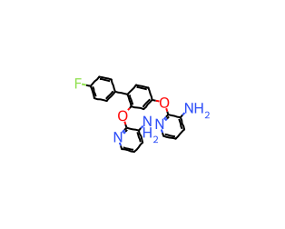 Nc1cccnc1Oc1ccc(-c2ccc(F)cc2)c(Oc2ncccc2N)c1